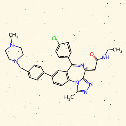 CCNC(=O)C[C@@H]1N=C(c2ccc(Cl)cc2)c2cc(-c3ccc(CN4CCN(C)CC4)cc3)ccc2-n2c(C)nnc21